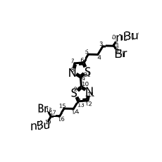 CCCCC(Br)CCCc1cnc(-c2ncc(CCCC(Br)CCCC)s2)s1